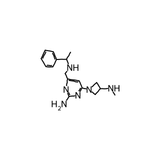 CNC1CN(c2cc(CNC(C)c3ccccc3)nc(N)n2)C1